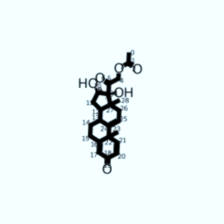 CC(=O)OCC(=O)[C@@]1(O)[C@H](O)CC2C3CCC4=CC(=O)C=CC4(C)C3=CCC21C